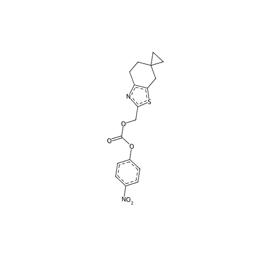 O=C(OCc1nc2c(s1)CC1(CC2)CC1)Oc1ccc([N+](=O)[O-])cc1